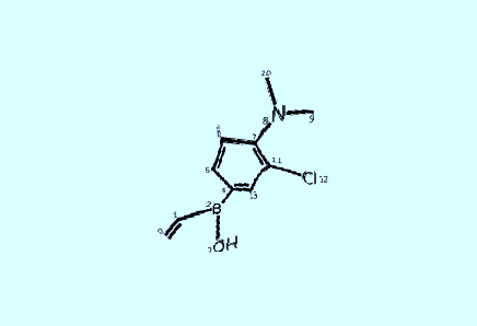 C=CB(O)c1ccc(N(C)C)c(Cl)c1